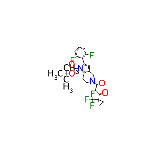 CC(C)(C)OC(=O)n1c(-c2c(F)cccc2F)cc2c1CCN(C(=O)CC(=O)C1(C(F)(F)F)CC1)C2